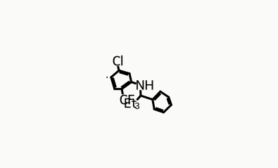 CCC(Nc1cc(Cl)[c]cc1C(F)(F)F)c1ccccc1